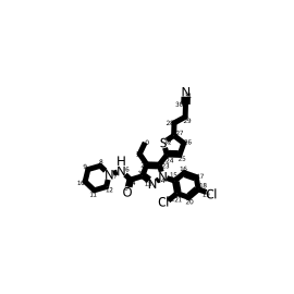 CCc1c(C(=O)NN2CCCCC2)nn(-c2ccc(Cl)cc2Cl)c1C1=CCC(CCC#N)S1